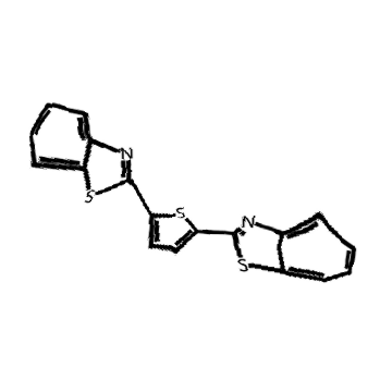 c1ccc2sc(-c3ccc(-c4nc5ccccc5s4)s3)nc2c1